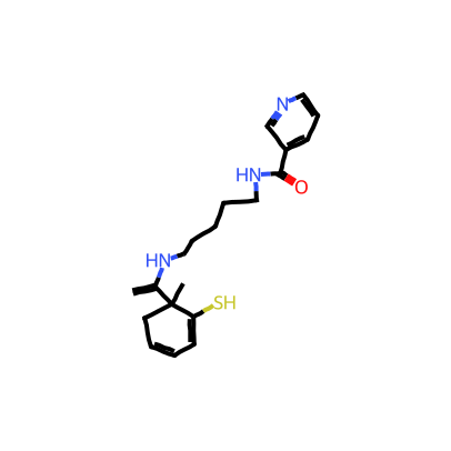 C=C(NCCCCCNC(=O)c1cccnc1)C1(C)CC=CC=C1S